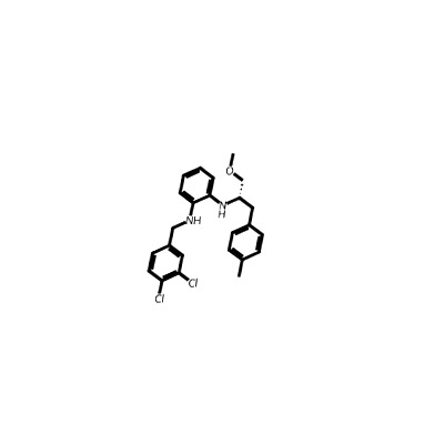 COC[C@H](Cc1ccc(C)cc1)Nc1ccccc1NCc1ccc(Cl)c(Cl)c1